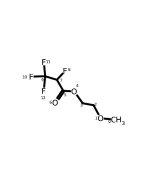 COCCOC(=O)C(F)C(F)(F)F